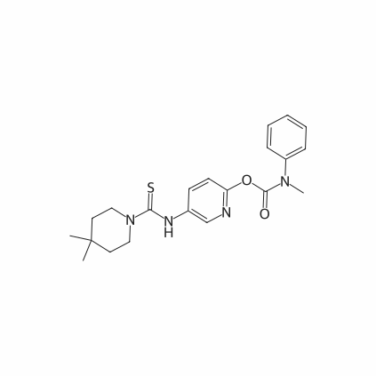 CN(C(=O)Oc1ccc(NC(=S)N2CCC(C)(C)CC2)cn1)c1ccccc1